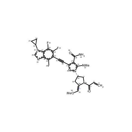 C=CC(=O)N1C[C@@H](n2nc(C#Cc3c(F)c(F)c4c(ncn4C4CC4)c3F)c(C(N)=O)c2NC)C/C1=C\OC